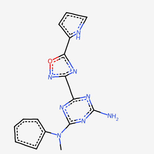 CN(c1ccccc1)c1nc(N)nc(-c2noc(-c3ccc[nH]3)n2)n1